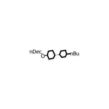 CCCCCCCCCCO[C@H]1CC[C@H](C2CCC(CCCC)CC2)CC1